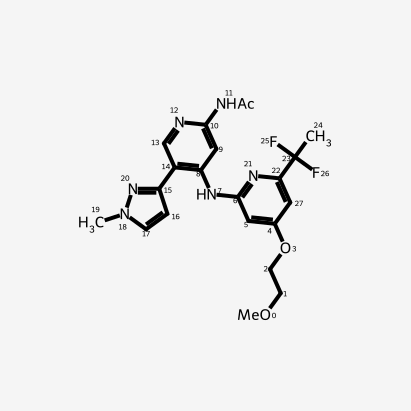 COCCOc1cc(Nc2cc(NC(C)=O)ncc2-c2ccn(C)n2)nc(C(C)(F)F)c1